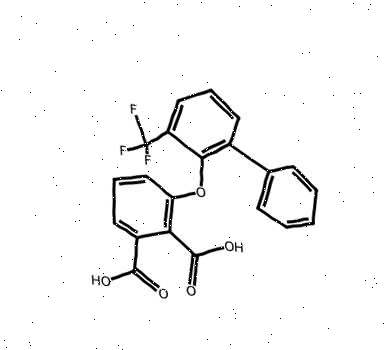 O=C(O)c1cccc(Oc2c(-c3ccccc3)cccc2C(F)(F)F)c1C(=O)O